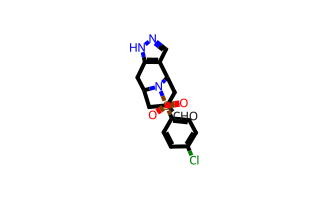 O=CC1CC2Cc3[nH]ncc3C(C1)N2S(=O)(=O)c1ccc(Cl)cc1